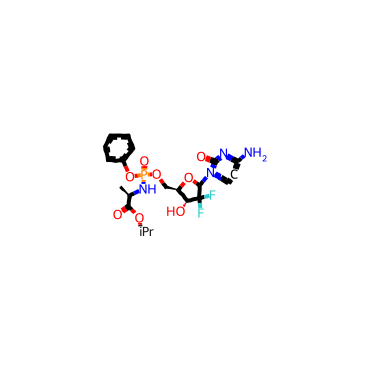 CC(C)OC(=O)[C@@H](C)NP(=O)(OC[C@H]1OC(n2ccc(N)nc2=O)C(F)(F)[C@@H]1O)Oc1ccccc1